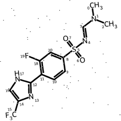 CN(C)C=NS(=O)(=O)c1ccc(-c2nc(C(F)(F)F)c[nH]2)c(F)c1